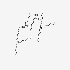 CCCCCC(=O)O.CCCCCCC(=O)O.CCCCCCN(CCCCCC)CCCCCC.CCCCCCN(CCCCCC)CCCCCC